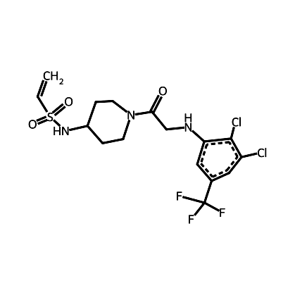 C=CS(=O)(=O)NC1CCN(C(=O)CNc2cc(C(F)(F)F)cc(Cl)c2Cl)CC1